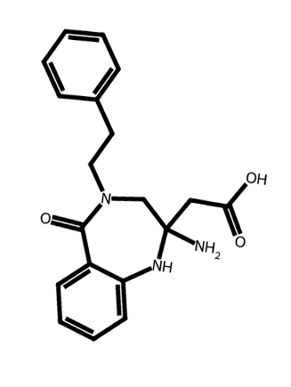 NC1(CC(=O)O)CN(CCc2ccccc2)C(=O)c2ccccc2N1